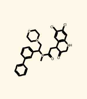 CN(C(=O)CC1C(=O)CNc2cc(Cl)c(Cl)cc21)C(CN1CCOCC1)c1cccc(-c2ccccc2)c1